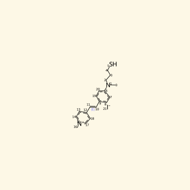 CN(CCCS)c1ccc(/C=C/c2cc[n+](C)cc2)cc1.[I-]